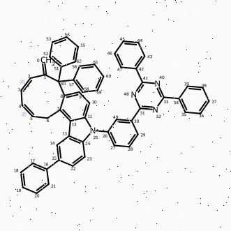 C=C1/C=C\C=C/Cc2c(ccc3c2c2cc(-c4ccccc4)ccc2n3-c2cccc(-c3nc(-c4ccccc4)nc(-c4ccccc4)n3)c2)C1(c1ccccc1)c1ccccc1